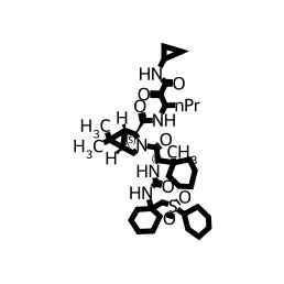 CCCC(NC(=O)[C@@H]1[C@@H]2[C@H](CN1C(=O)[C@@H](NC(=O)NC1(CS(=O)(=O)C3CCCCC3)CCCCC1)C1(C)CCCCC1)C2(C)C)C(=O)C(=O)NC1CC1